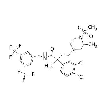 CC1CN(CCC(C)(C(=O)NCc2cc(C(F)(F)F)cc(C(F)(F)F)c2)c2ccc(Cl)c(Cl)c2)CCN1S(C)(=O)=O